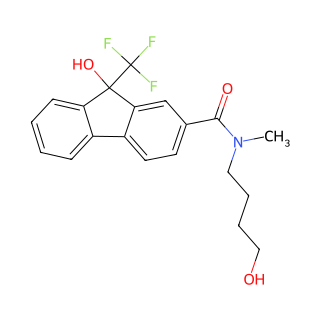 CN(CCCCO)C(=O)c1ccc2c(c1)C(O)(C(F)(F)F)c1ccccc1-2